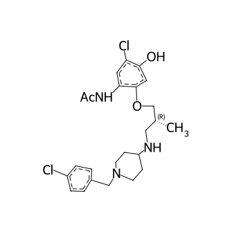 CC(=O)Nc1cc(Cl)c(O)cc1OC[C@H](C)CNC1CCN(Cc2ccc(Cl)cc2)CC1